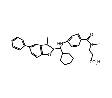 CC1c2cc(-c3ccccc3)ccc2OC1C(Nc1ccc(C(=O)N(C)CCC(=O)O)cc1)C1CCCCC1